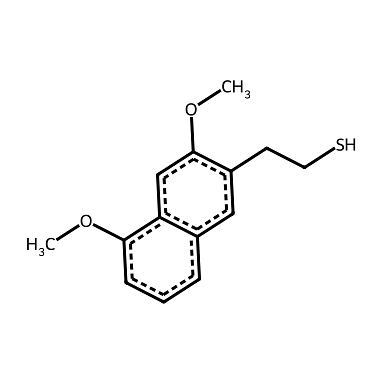 COc1cc2c(OC)cccc2cc1CCS